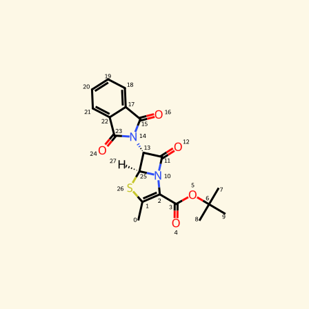 CC1=C(C(=O)OC(C)(C)C)N2C(=O)[C@@H](N3C(=O)c4ccccc4C3=O)[C@@H]2S1